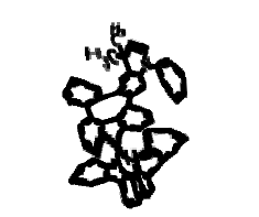 CC1(C)C=CN(c2ccccc2)c2cc3c(cc21)-c1ccccc1-c1cccc2c1-c1c-3cccc1C2(n1c2ccccc2c2ccccc21)n1c2ccccc2c2ccccc21